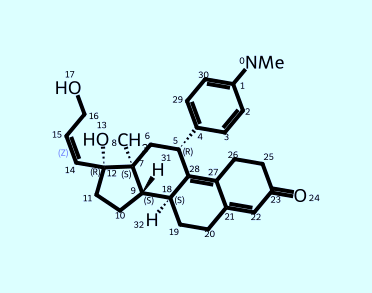 CNc1ccc([C@H]2C[C@@]3(C)[C@@H](CC[C@@]3(O)/C=C\CO)[C@@H]3CCC4=CC(=O)CCC4=C32)cc1